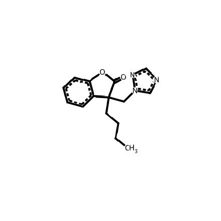 CCCCC1(Cn2cncn2)C(=O)Oc2ccccc21